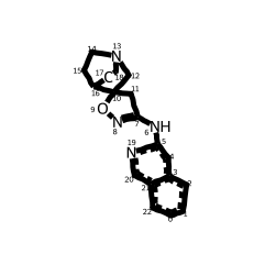 c1ccc2cc(NC3=NOC4(C3)CN3CCC4CC3)ncc2c1